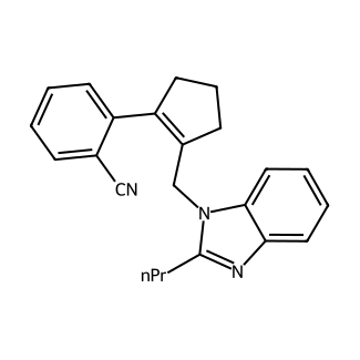 CCCc1nc2ccccc2n1CC1=C(c2ccccc2C#N)CCC1